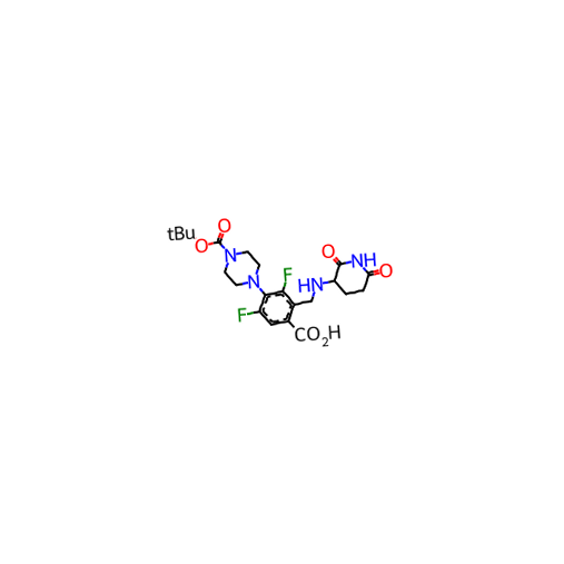 CC(C)(C)OC(=O)N1CCN(c2c(F)cc(C(=O)O)c(CNC3CCC(=O)NC3=O)c2F)CC1